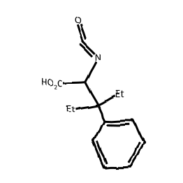 CCC(CC)(c1ccccc1)C(N=C=O)C(=O)O